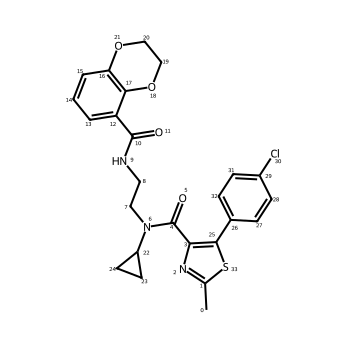 Cc1nc(C(=O)N(CCNC(=O)c2cccc3c2OCCO3)C2CC2)c(-c2ccc(Cl)cc2)s1